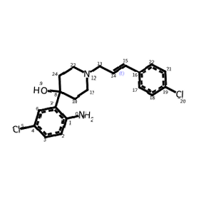 Nc1ccc(Cl)cc1C1(O)CCN(C/C=C/c2ccc(Cl)cc2)CC1